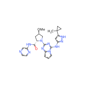 CO[C@@H]1C[C@@H](C(=O)Nc2cnccn2)N(c2nc(Nc3cc(C4(C)CC4)[nH]n3)n3cccc3n2)C1